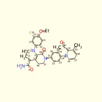 C=C(C(N)=O)C1=C(N(C)c2ccc(OCC)c(F)c2)C(=O)N(c2ccc(N3C=CC=C(C)C3=C=O)c(C)c2)CC1